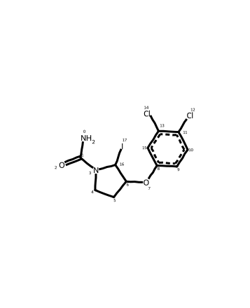 NC(=O)N1CCC(Oc2ccc(Cl)c(Cl)c2)C1I